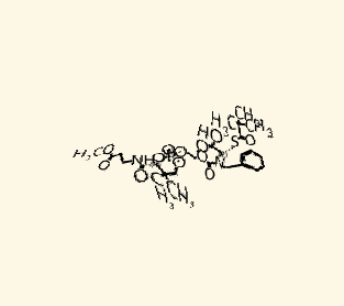 COC(=O)CCNC(=O)[C@@H]1O[P@@](=O)(OCOC(=O)N(Cc2ccccc2)[C@@H](CSC(=O)C(C)(C)C)C(=O)O)OCC1(C)C